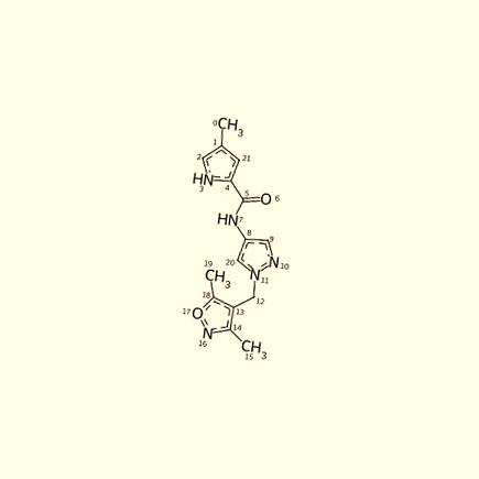 Cc1c[nH]c(C(=O)Nc2cnn(Cc3c(C)noc3C)c2)c1